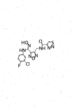 O=C(NCc1nonc1/C(=N/O)Nc1ccc(F)c(Cl)c1)c1csnn1